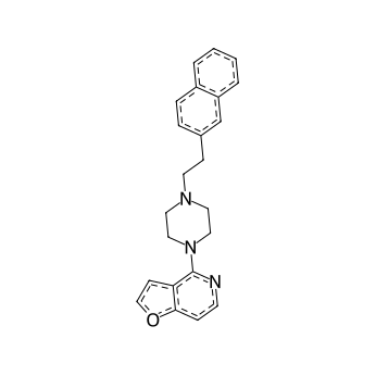 c1ccc2cc(CCN3CCN(c4nccc5occc45)CC3)ccc2c1